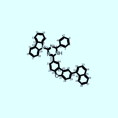 c1ccc(C2N=C(n3c4ccccc4c4ccccc43)N=C(c3ccc4oc5ccc(-c6cccc7ccccc67)cc5c4c3)N2)cc1